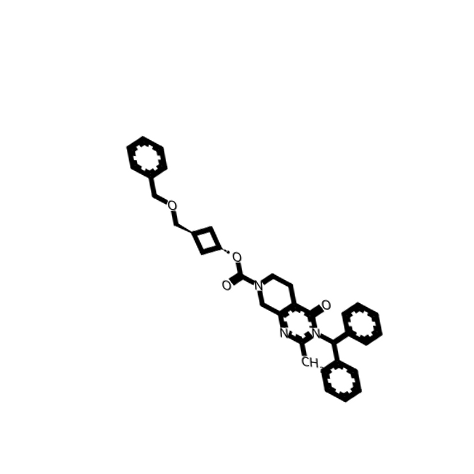 Cc1nc2c(c(=O)n1C(c1ccccc1)c1ccccc1)CCN(C(=O)O[C@H]1C[C@H](COCc3ccccc3)C1)C2